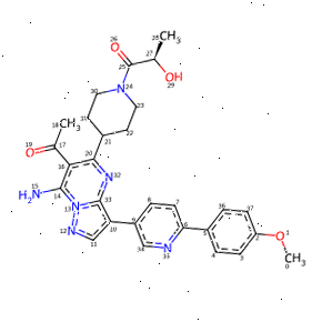 COc1ccc(-c2ccc(-c3cnn4c(N)c(C(C)=O)c(C5CCN(C(=O)[C@@H](C)O)CC5)nc34)cn2)cc1